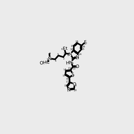 CCC(CCCN(C)C=O)n1c(NC(=O)c2ccc(-c3cnco3)s2)nc2cc(F)ccc21